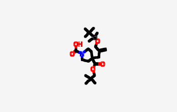 C=C(CO[Si](C)(C)C(C)(C)C)CC1(C(=O)OCC(C)(C)C)CCN(C(=O)O)CC1